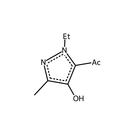 CCn1nc(C)c(O)c1C(C)=O